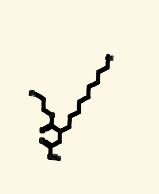 CC(=O)CCCCCCCCCC(CC(=O)OCC(C)C)C(=O)OCCC(C)C